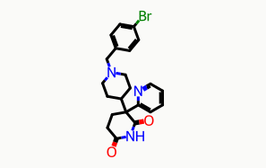 O=C1CCC(c2ccccn2)(C2CCN(Cc3ccc(Br)cc3)CC2)C(=O)N1